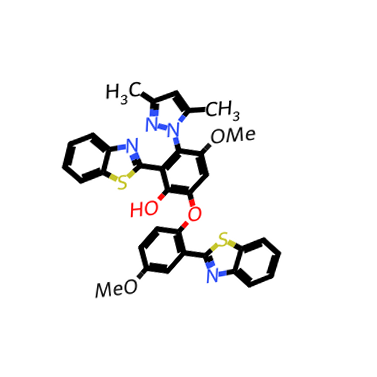 COc1ccc(Oc2cc(OC)c(-n3nc(C)cc3C)c(-c3nc4ccccc4s3)c2O)c(-c2nc3ccccc3s2)c1